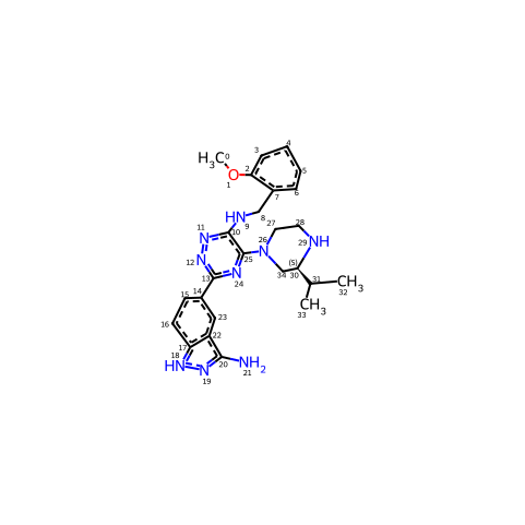 COc1ccccc1CNc1nnc(-c2ccc3[nH]nc(N)c3c2)nc1N1CCN[C@@H](C(C)C)C1